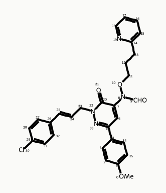 COc1ccc(-c2cc(N(C=O)OCCCc3ccccn3)c(=O)n(C/C=C/c3ccc(Cl)cc3)n2)cc1